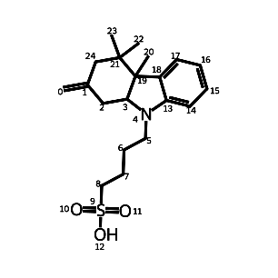 C=C1CC2N(CCCCS(=O)(=O)O)c3ccccc3C2(C)C(C)(C)C1